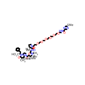 CC[C@H](C)[C@@H]([C@@H](CC(=O)N1CCC[C@H]1[C@H](OC)[C@@H](C)C(=O)N[C@@H](Cc1ccccc1)C(=O)O)OC)N(C)C(=O)[C@@H](NC(=O)[C@]1(C)CCCN1C(=O)CCOCCOCCOCCOCCOCCOCCNC(=O)c1cnc(SC)cn1)C(C)C